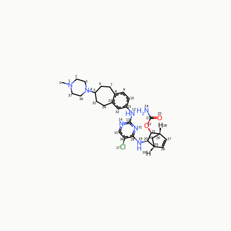 CN1CCN(C2CCc3ccc(Nc4ncc(Cl)c(N[C@H]5[C@@H](OC(N)=O)[C@@H]6C=C[C@H]5C6)n4)cc3CC2)CC1